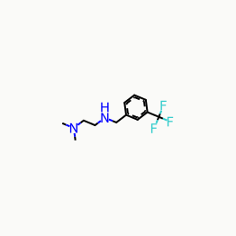 CN(C)CCNCc1cccc(C(F)(F)F)c1